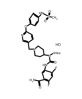 CCCCCCN(C(=O)Nc1cc(C(N)=O)c(F)cc1F)C1CCN(Cc2ccc(Oc3ccc(NS(C)(=O)=O)cc3)nc2)CC1.Cl